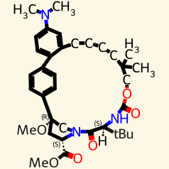 COC(=O)[C@@H]1C[C@]2(OC)CN1C(=O)[C@H](C(C)(C)C)NC(=O)OCC(C)(C)CCCCc1cc(N(C)C)ccc1-c1ccc2cc1